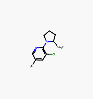 O=C(O)[C@@H]1CCCN1c1ncc(C(F)(F)F)cc1Cl